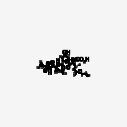 C=CCO[C@@H](C)C[C@@H](C)[C@H](NC(=O)O)C(=O)N1C[C@H](O)C[C@H]1C(=O)N[C@]1(C(=O)NS(=O)(=O)C2CC2)C[C@H]1C=C